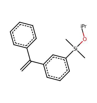 C=C(c1ccccc1)c1cccc([Si](C)(C)OC(C)C)c1